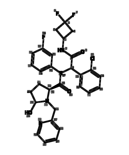 O=C(NC1CC(F)(F)C1)C(c1ccccc1Cl)N(C(=O)[C@@H]1CCC(O)N1Cc1ccccn1)c1cccc(F)c1